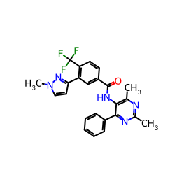 Cc1nc(C)c(NC(=O)c2ccc(C(F)(F)F)c(-c3ccn(C)n3)c2)c(-c2ccccc2)n1